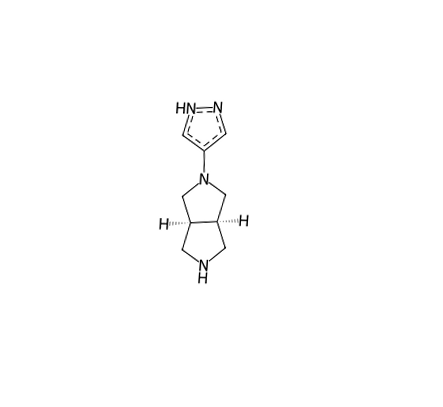 c1n[nH]cc1N1C[C@H]2CNC[C@H]2C1